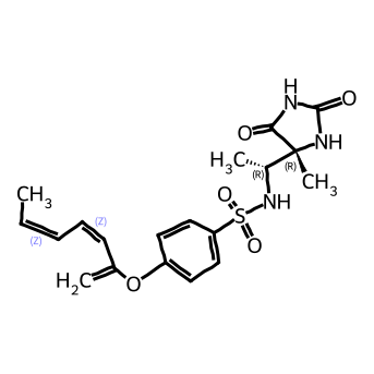 C=C(/C=C\C=C/C)Oc1ccc(S(=O)(=O)N[C@H](C)[C@@]2(C)NC(=O)NC2=O)cc1